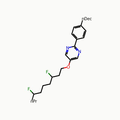 CCCCCCCCCCc1ccc(-c2ncc(OCCC(F)CCCC(F)CCC)cn2)cc1